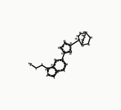 FCCn1ccc2ccc(-c3nnc(N4CCN5CCC4CC5)o3)cc21